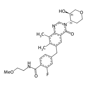 COCCNC(=O)c1ccc(Cc2cc3c(=O)n([C@H]4CCOC[C@@H]4O)cnc3c(C)c2C)cc1F